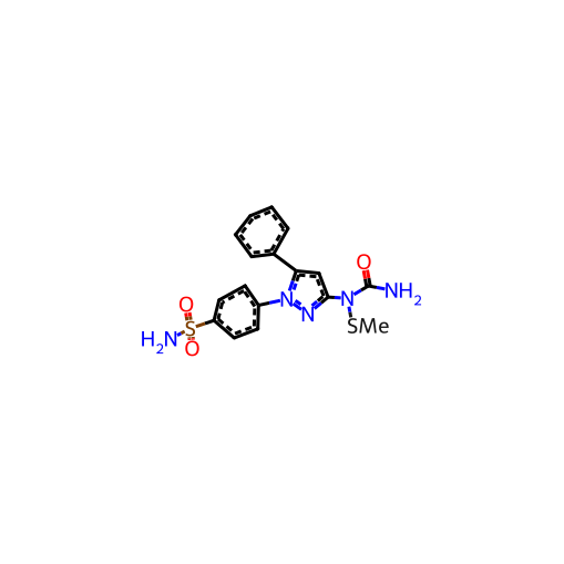 CSN(C(N)=O)c1cc(-c2ccccc2)n(-c2ccc(S(N)(=O)=O)cc2)n1